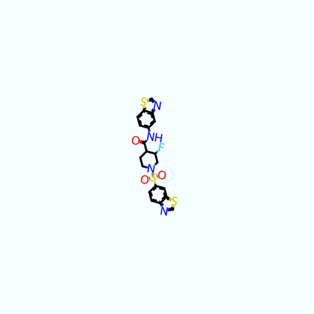 O=C(Nc1ccc2scnc2c1)C1CCN(S(=O)(=O)c2ccc3ncsc3c2)CC1F